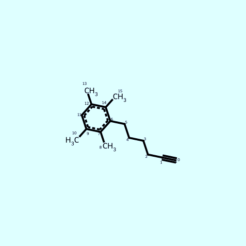 [C]#CCCCCc1c(C)c(C)cc(C)c1C